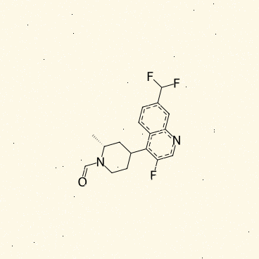 C[C@@H]1CC(c2c(F)cnc3cc(C(F)F)ccc23)CCN1C=O